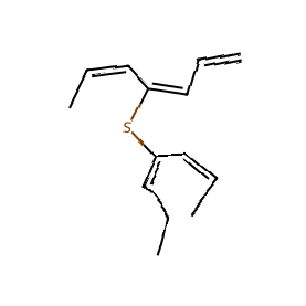 C=C/C=C(\C=C/C)SC(/C=C\C)=C/CC